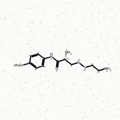 CCCCCc1ccc(NC(=O)[C@H](N)CSSCCN)cc1